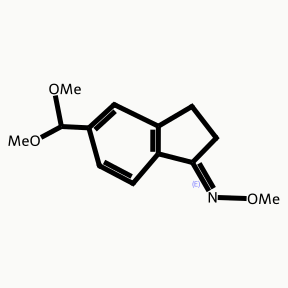 CO/N=C1\CCc2cc(C(OC)OC)ccc21